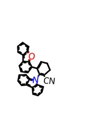 N#CC1=C(n2c3ccccc3c3ccccc32)C(c2cccc3c2oc2ccccc23)=CCC1